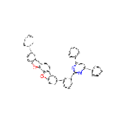 C1=CCC(c2ccc3oc4c(ccc5c6cc(-c7cccc(-c8nc(-c9ccccc9)cc(-c9ccccc9)n8)c7)ccc6oc54)c3c2)C=C1